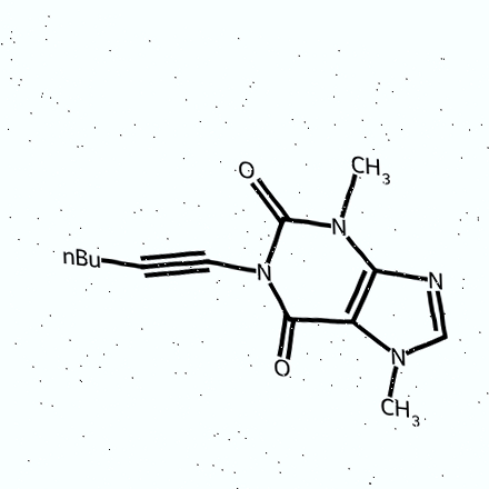 CCCCC#Cn1c(=O)c2c(ncn2C)n(C)c1=O